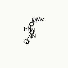 COc1ccc(Nc2cc3c(cn2)ncn3Cc2ccco2)cc1